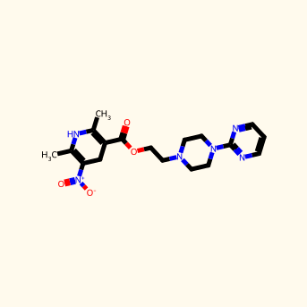 CC1=C(C(=O)OCCN2CCN(c3ncccn3)CC2)CC([N+](=O)[O-])=C(C)N1